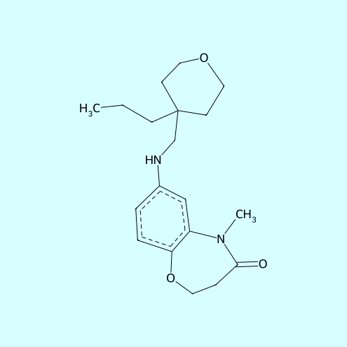 CCCC1(CNc2ccc3c(c2)N(C)C(=O)CCO3)CCOCC1